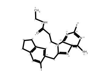 CCNC(=O)CCn1c(Cc2cc3c(cc2I)CCC3)nc2c(N)nc(F)nc21